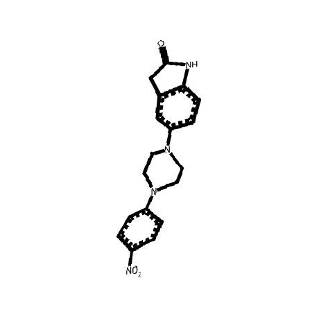 O=C1Cc2cc(N3CCN(c4ccc([N+](=O)[O-])cc4)CC3)ccc2N1